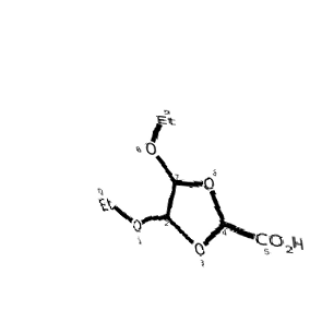 CCOC1OC(C(=O)O)OC1OCC